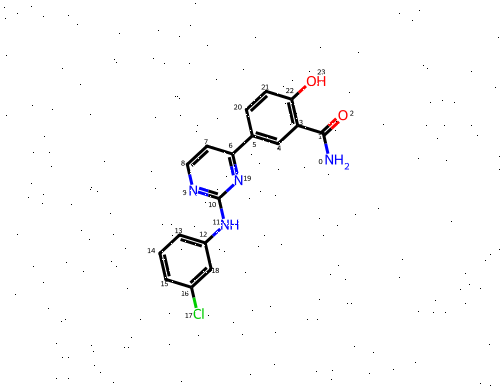 NC(=O)c1cc(-c2ccnc(Nc3cccc(Cl)c3)n2)ccc1O